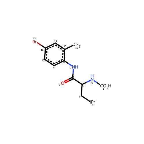 CC(C)CC(NC(=O)O)C(=O)Nc1ccc(Br)cc1C(F)(F)F